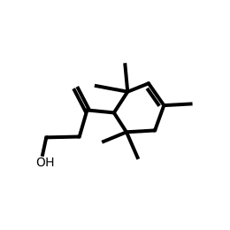 C=C(CCO)C1C(C)(C)C=C(C)CC1(C)C